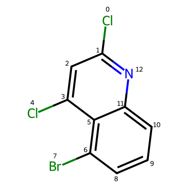 Clc1cc(Cl)c2c(Br)cccc2n1